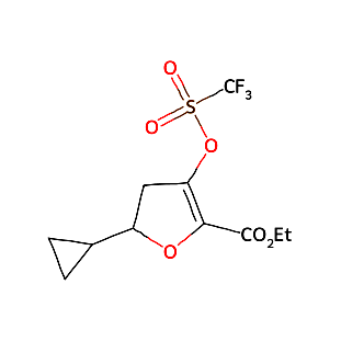 CCOC(=O)C1=C(OS(=O)(=O)C(F)(F)F)CC(C2CC2)O1